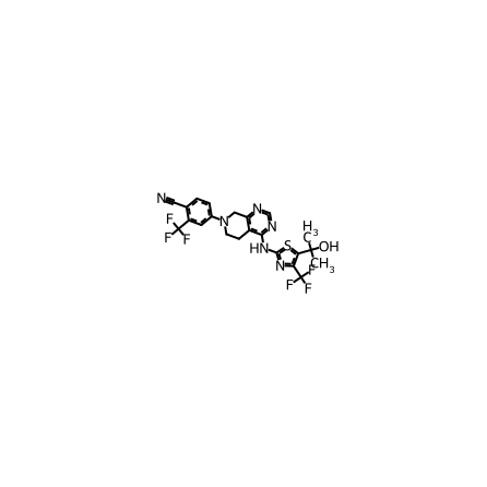 CC(C)(O)c1sc(Nc2ncnc3c2CCN(c2ccc(C#N)c(C(F)(F)F)c2)C3)nc1C(F)(F)F